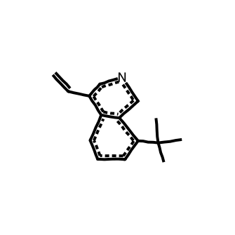 C=Cc1cncc2c(C(C)(C)C)cccc12